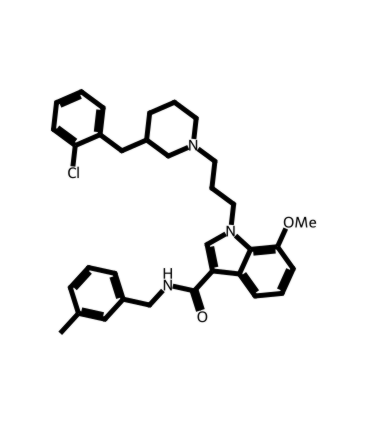 COc1cccc2c(C(=O)NCc3cccc(C)c3)cn(CCCN3CCCC(Cc4ccccc4Cl)C3)c12